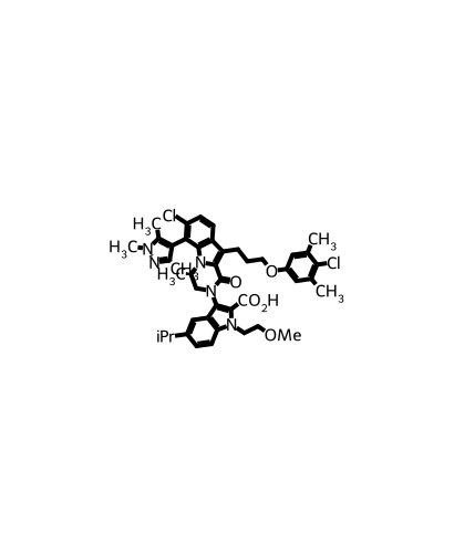 COCCn1c(C(=O)O)c(N2C[C@@H](C)n3c(c(CCCOc4cc(C)c(Cl)c(C)c4)c4ccc(Cl)c(-c5c(C)nn(C)c5C)c43)C2=O)c2cc(C(C)C)ccc21